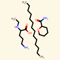 CCCCCCCCCCCCCC.CCNC(CCCN)C(=O)O.NC(=O)C1CCCCO1